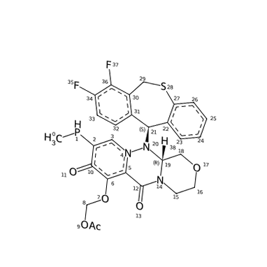 CPc1cn2c(c(OCOC(C)=O)c1=O)C(=O)N1CCOC[C@H]1N2[C@@H]1c2ccccc2SCc2c1ccc(F)c2F